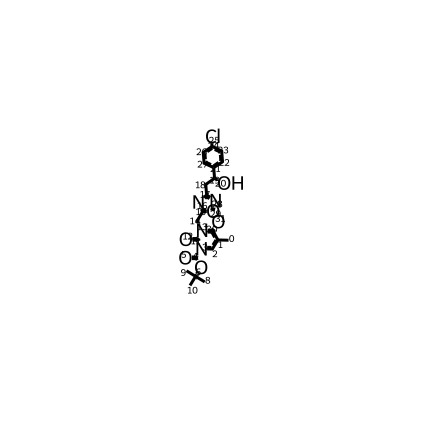 Cc1cn(C(=O)OC(C)(C)C)c(=O)n(Cc2nc(CC(O)c3ccc(Cl)cc3)no2)c1=O